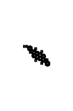 O=c1c2ccc3c4c(cc5c(=O)c6ccc7c8c(cc1c(c68)c5c24)c(=O)n1c2ccccc2nc71)c(=O)n1c2ccc(O)cc2nc31